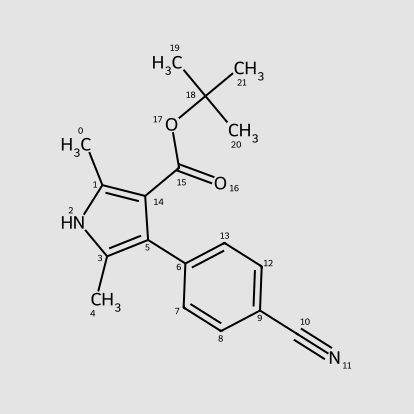 Cc1[nH]c(C)c(-c2ccc(C#N)cc2)c1C(=O)OC(C)(C)C